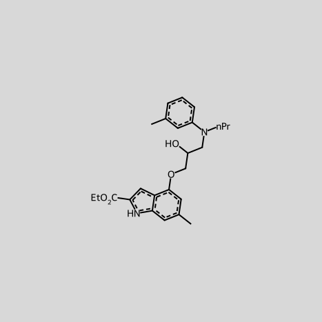 CCCN(CC(O)COc1cc(C)cc2[nH]c(C(=O)OCC)cc12)c1cccc(C)c1